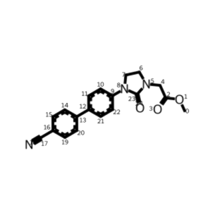 COC(=O)CN1CCN(c2ccc(-c3ccc(C#N)cc3)cc2)C1=O